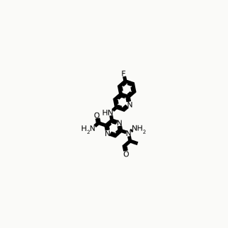 CC(C=O)N(N)c1cnc(C(N)=O)c(Nc2cnc3ccc(F)cc3c2)n1